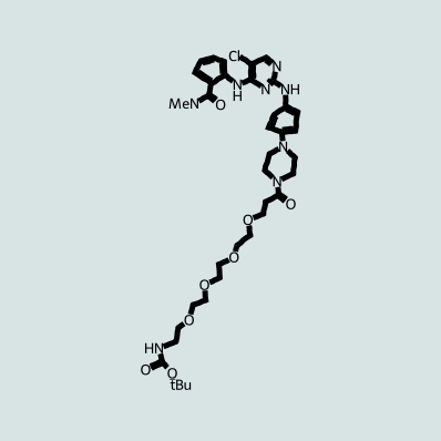 CNC(=O)c1ccccc1Nc1nc(Nc2ccc(N3CCN(C(=O)CCOCCOCCOCCOCCNC(=O)OC(C)(C)C)CC3)cc2)ncc1Cl